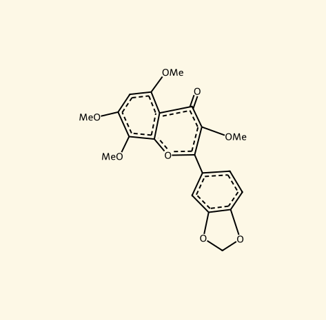 COc1cc(OC)c2c(=O)c(OC)c(-c3ccc4c(c3)OCO4)oc2c1OC